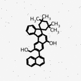 CC1(C)CC(C)(C)CC2(C1)c1ccccc1-c1c2cc(O)c2cc(-c3cccc4ccccc34)c(CO)cc12